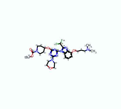 CN(C)CCCOc1cccc2c1nc(C(F)F)n2-c1nc(OC2CCN(C(=O)OC(C)(C)C)CC2)nc(N2CCOCC2)n1